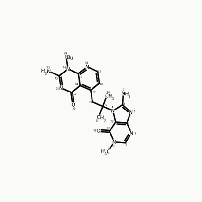 Cn1cnc2nc(N)n(C(C)(C)Cc3ccnc4c3c(=O)nc(N)n4C(C)(C)C)c2c1=O